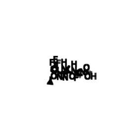 Cc1[nH]c2c(-c3cc(C(F)(F)F)ccc3OCC3CC3)ncnc2c1C(=O)N[C@H]1CN(C(=O)[C@H](C)O)C[C@@H]1F